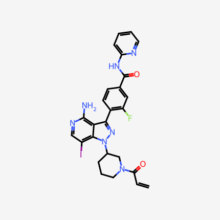 C=CC(=O)N1CCCC(n2nc(-c3ccc(C(=O)Nc4ccccn4)cc3F)c3c(N)ncc(I)c32)C1